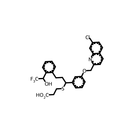 O=C(O)CCSC(CCc1ccccc1C(O)C(F)(F)F)c1cccc(OCc2ccc3ccc(Cl)cc3n2)c1